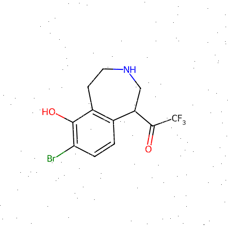 O=C(C1CNCCc2c1ccc(Br)c2O)C(F)(F)F